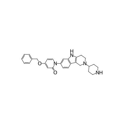 O=c1cc(OCc2ccccc2)ccn1-c1ccc2c3c([nH]c2c1)CCN(C1CCNCC1)C3